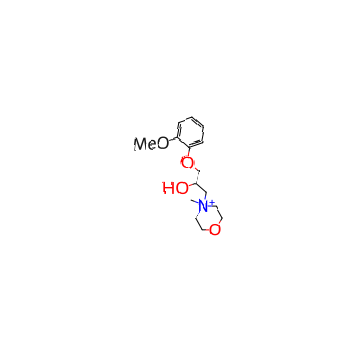 COc1ccccc1OCC(O)C[N+]1(C)CCOCC1